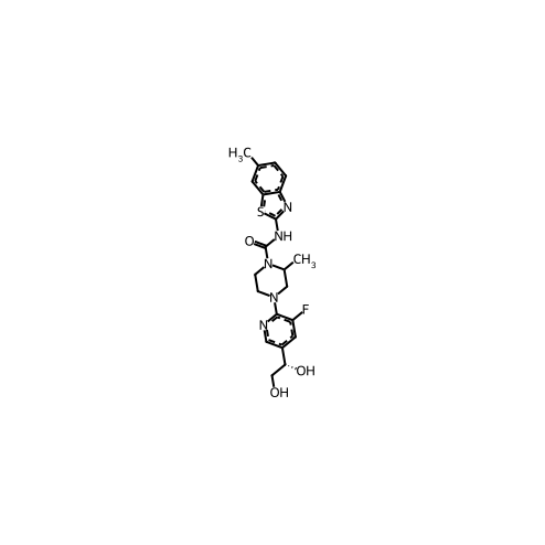 Cc1ccc2nc(NC(=O)N3CCN(c4ncc([C@H](O)CO)cc4F)CC3C)sc2c1